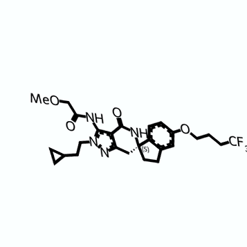 COCC(=O)Nc1c2c(nn1CCC1CC1)C[C@]1(CCc3cc(OCCCC(F)(F)F)ccc31)NC2=O